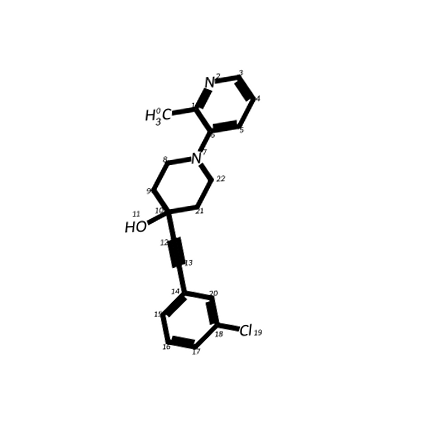 Cc1ncccc1N1CCC(O)(C#Cc2cccc(Cl)c2)CC1